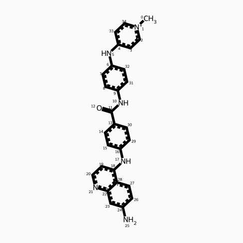 C[n+]1ccc(Nc2ccc(NC(=O)c3ccc(Nc4ccnc5cc(N)ccc45)cc3)cc2)cc1